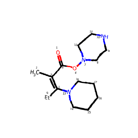 CCC(=C(C)C(=O)ON1CCNCC1)N1CCCCC1